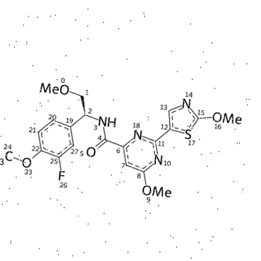 COC[C@@H](NC(=O)c1cc(OC)nc(-c2cnc(OC)s2)n1)c1ccc(OC(F)(F)F)c(F)c1